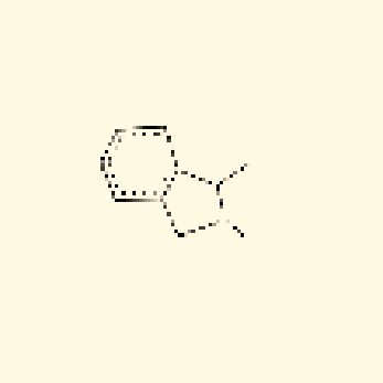 CC1c2ccccc2CN1C